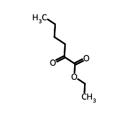 CCCCC(=O)C(=O)OCC